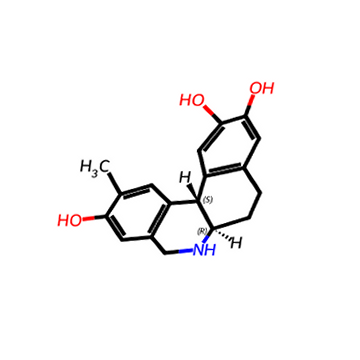 Cc1cc2c(cc1O)CN[C@@H]1CCc3cc(O)c(O)cc3[C@@H]21